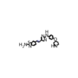 Nc1nc2ccc(/C=C/c3cnc(Nc4ccc(OC5CCNCC5)cc4)nc3)cc2s1